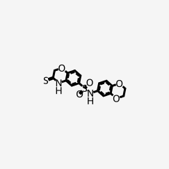 O=S(=O)(Nc1ccc2c(c1)OCCO2)c1ccc2c(c1)NC(=S)CO2